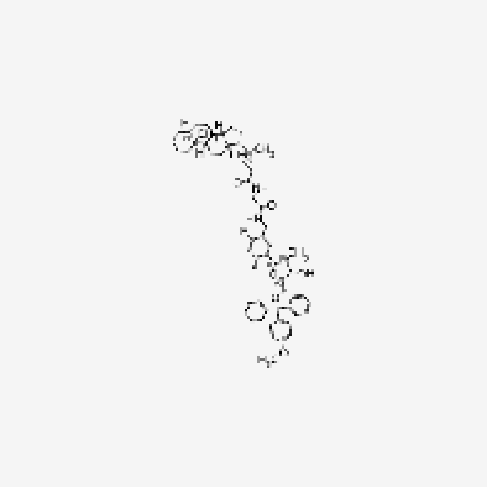 COc1ccc(C(OC[C@H]2O[C@@H](c3cc(CNC(=O)CNC(=O)CC[C@@H](C)C4CC[C@@H]5C6CC[C@H]7CCCC[C@@]7(C)[C@@H]6CC[C@@]45C)c(F)cc3F)[C@@H](C)C2O)(c2ccccc2)c2ccccc2)cc1